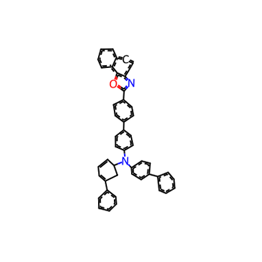 C1=CC(N(c2ccc(-c3ccccc3)cc2)c2ccc(-c3ccc(-c4nc5ccc6ccccc6c5o4)cc3)cc2)CC(c2ccccc2)=C1